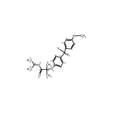 COc1ccc(C(F)(F)c2ccc(OC(C)(C)C(=O)OC(C)C)cc2)cc1